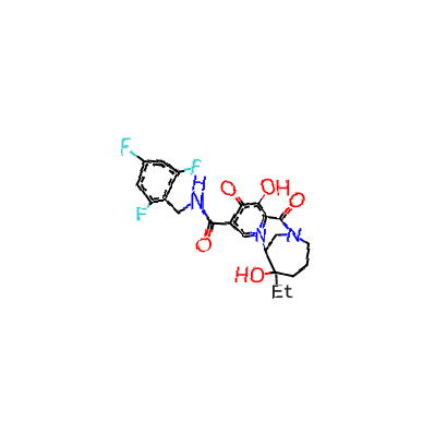 CCC1(O)CCCN2CC1n1cc(C(=O)NCc3c(F)cc(F)cc3F)c(=O)c(O)c1C2=O